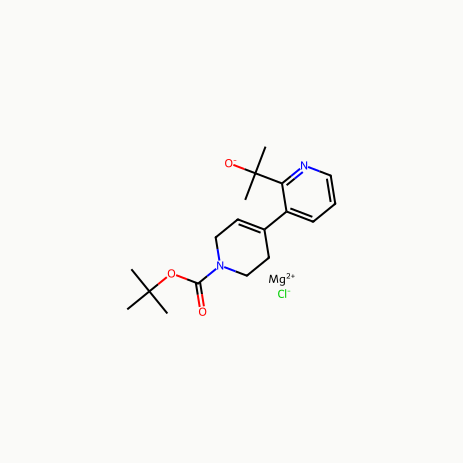 CC(C)(C)OC(=O)N1CC=C(c2cccnc2C(C)(C)[O-])CC1.[Cl-].[Mg+2]